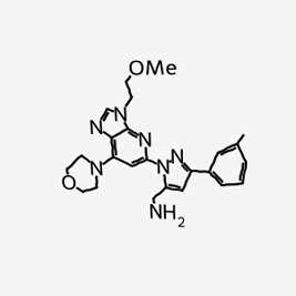 COCCn1cnc2c(N3CCOCC3)cc(-n3nc(-c4cccc(C)c4)cc3CN)nc21